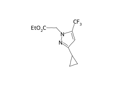 CCOC(=O)Cn1nc(C2CC2)cc1C(F)(F)F